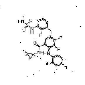 CNS(=O)(=O)Nc1nccc(Cc2cc(C(=O)N[C@H]3C[C@H]3C)c(Nc3ccc(I)cc3F)c(F)c2F)c1F